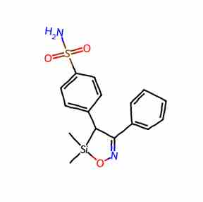 C[Si]1(C)ON=C(c2ccccc2)C1c1ccc(S(N)(=O)=O)cc1